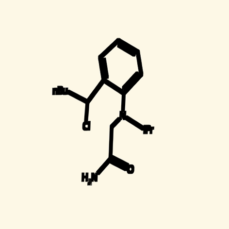 CCCCC(Cl)c1ccccc1N(CC(N)=O)C(C)C